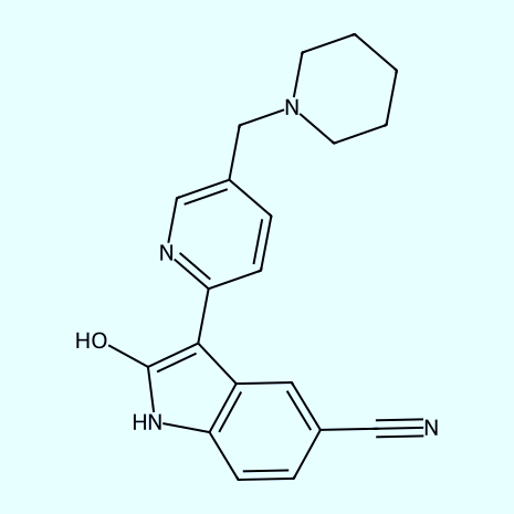 N#Cc1ccc2[nH]c(O)c(-c3ccc(CN4CCCCC4)cn3)c2c1